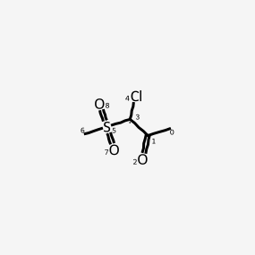 CC(=O)[C](Cl)S(C)(=O)=O